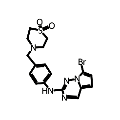 O=S1(=O)CCN(Cc2ccc(Nc3ncc4ccc(Br)n4n3)cc2)CC1